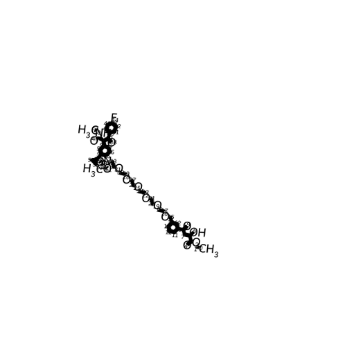 CCOC(=O)C(O)=CC(=O)c1cccc(COCCOCCOCCOCCOCCOCCN(c2cc3oc(-c4ccc(F)cc4)c(C(=O)NC)c3cc2C2CC2)S(C)(=O)=O)c1